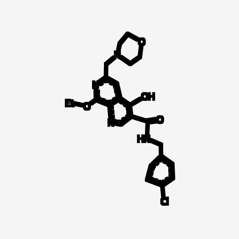 CCOc1nc(CN2CCOCC2)cc2c(O)c(C(=O)NCc3ccc(Cl)cc3)cnc12